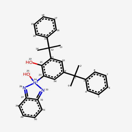 CC(C)(c1ccccc1)c1cc(C(C)(C)c2ccccc2)c(O)c([N+]2(O)N=c3ccccc3=N2)c1